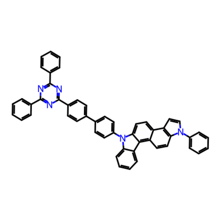 c1ccc(-c2nc(-c3ccccc3)nc(-c3ccc(-c4ccc(-n5c6ccccc6c6c7ccc8c(ccn8-c8ccccc8)c7ccc65)cc4)cc3)n2)cc1